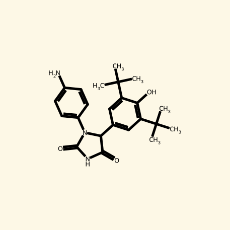 CC(C)(C)c1cc(C2C(=O)NC(=O)N2c2ccc(N)cc2)cc(C(C)(C)C)c1O